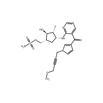 COCC#CCn1ccc(C(=O)c2cncnc2N[C@@H]2C[C@H](COS(N)(=O)=O)[C@@H](O)[C@@H]2F)c1